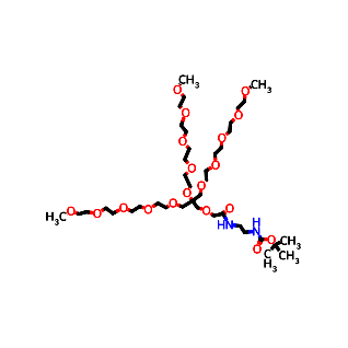 COCCOCCOCCOCCOCC(COCCOCCOCCOCCOC)(COCC(=O)NCCNC(=O)OC(C)(C)C)OCCOCCOCCOCCOC